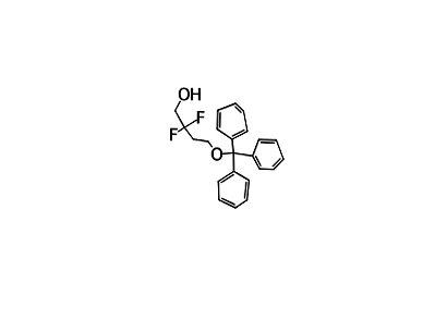 OCC(F)(F)CCOC(c1ccccc1)(c1ccccc1)c1ccccc1